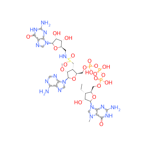 CC[C@H]1[C@@H](O)[C@H](n2c[n+](C)c3c(=O)[nH]c(N)nc32)O[C@@H]1COP(=O)(O)OP(=O)(O)OP(=O)(O)OC[C@H]1O[C@@H](n2cnc3c(N)ncnc32)[C@H](OC)[C@@H]1CS(=O)(=O)NC[C@H]1O[C@@H](n2cnc3c(=O)[nH]c(N)nc32)[C@H](O)[C@@H]1O